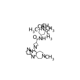 CN1CCc2nc3ccnn3c(N3CC(C(=O)NC4CC(C)(C)N(C)C(C)(C)C4)C3)c2CC1